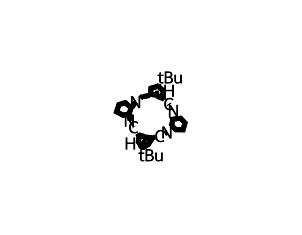 CC(C)(C)c1cc2cnc3ccccc3ncc3cc(C(C)(C)C)cc(cnc4ccccc4ncc(c1)c2O)c3O